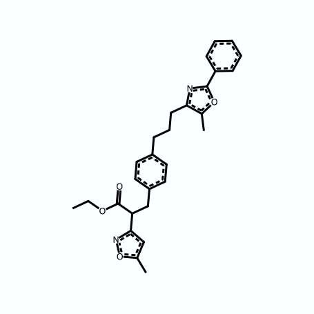 CCOC(=O)C(Cc1ccc(CCCc2nc(-c3ccccc3)oc2C)cc1)c1cc(C)on1